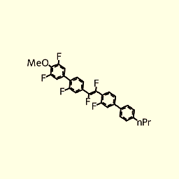 CCCc1ccc(-c2ccc(/C(F)=C(\F)c3ccc(-c4cc(F)c(OC)c(F)c4)c(F)c3)c(F)c2)cc1